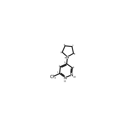 Clc1cc(N2CCCC2)cnn1